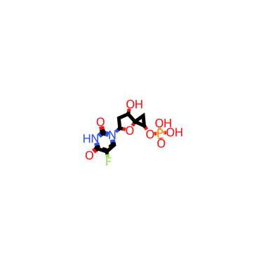 O=c1[nH]c(=O)n(C2CC(O)C3(CC3OP(=O)(O)O)O2)cc1F